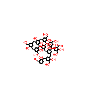 OCc1cc(Cc2cc(Cc3cc(Cc4cc(Cc5cc(Cc6cc(Cc7cccc(CO)c7O)cc(CO)c6O)cc(Cc6cc(CO)c(O)c(CO)c6)c5O)cc(Cc5cc(CO)c(O)c(CO)c5)c4O)cc(Cc4cc(CO)c(O)c(CO)c4)c3O)cc(CO)c2O)cc(CO)c1O